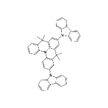 CC1(C)c2ccccc2N2c3ccc(-n4c5ccccc5c5ccccc54)cc3C(C)(C)c3cc(-n4c5ccccc5c5ccccc54)cc1c32